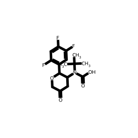 CC(C)(C)N(C(=O)O)C1CC(=O)COC1c1cc(F)c(F)cc1F